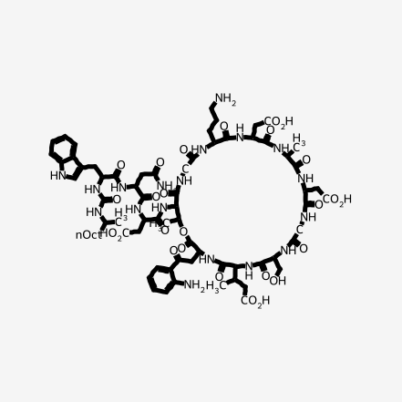 CCCCCCCCC(C)NC(=O)NC(Cc1c[nH]c2ccccc12)C(=O)NC(CC(N)=O)C(=O)NC(CC(=O)O)C(=O)NC1C(=O)NCC(=O)NC(CCCN)C(=O)NC(CC(=O)O)C(=O)NC(C)C(=O)NC(CC(=O)O)C(=O)NCC(=O)NC(CO)C(=O)NC(C(C)CC(=O)O)C(=O)NC(CC(=O)c2ccccc2N)C(=O)OC1C